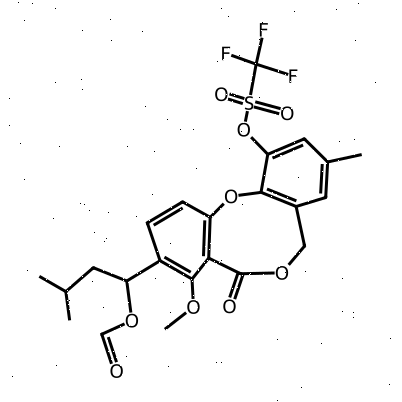 COc1c(C(CC(C)C)OC=O)ccc2c1C(=O)OCc1cc(C)cc(OS(=O)(=O)C(F)(F)F)c1O2